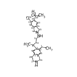 CCc1cc2c(cc1C(C)CCNN1Cc3cc(Cl)c(C(C)C)cc3C1)CCNC2